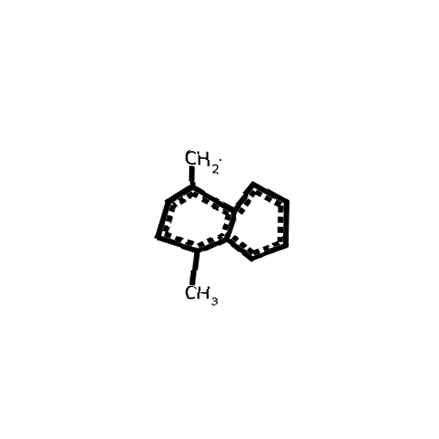 [CH2]c1ccc(C)c2ccccc12